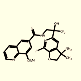 COc1cc(C(=O)NCC(O)(c2cc3c(c(F)n2)OCC3(C)N)C(F)(F)F)cc2cccnc12